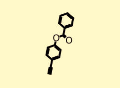 C#Cc1ccc(OC(=O)c2ccccc2)cc1